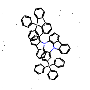 c1ccc([Si](c2ccccc2)(c2ccccc2)c2cccc(-n3c4ccccc4c4cccc(-n5c6ccccc6c6cccc(-c7cccc8c7[Si](c7ccccc7)(c7ccccc7)c7ccccc7-8)c65)c43)c2)cc1